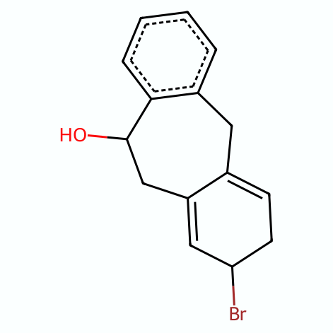 OC1CC2=CC(Br)CC=C2Cc2ccccc21